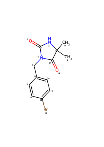 CC1(C)NC(=O)N(Cc2ccc(Br)cc2)C1=O